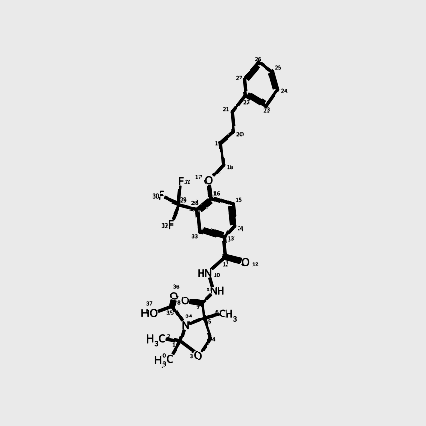 CC1(C)OCC(C)(C(=O)NNC(=O)c2ccc(OCCCCc3ccccc3)c(C(F)(F)F)c2)N1C(=O)O